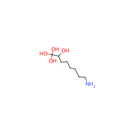 NCCCCCCC(O)C(O)(O)O